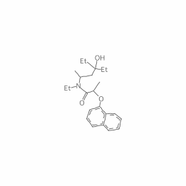 CCN(C(=O)C(C)Oc1cccc2ccccc12)C(C)CC(O)(CC)CC